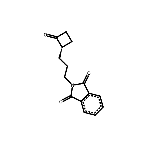 O=C1CC[C@H]1CCCN1C(=O)c2ccccc2C1=O